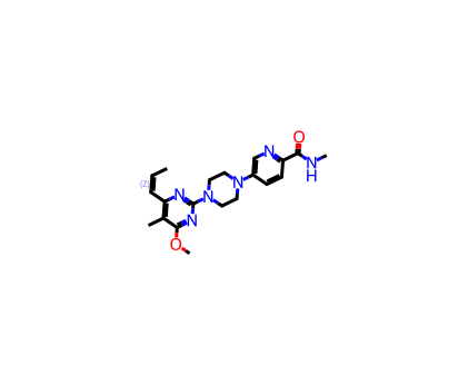 C/C=C\c1nc(N2CCN(c3ccc(C(=O)NC)nc3)CC2)nc(OC)c1C